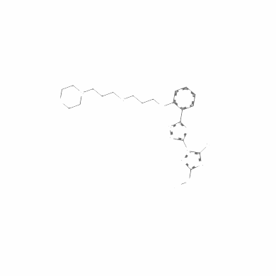 CSc1nc(N)n(-c2nnc(-c3ccccc3OCCCNCCCN3CCOCC3)s2)n1